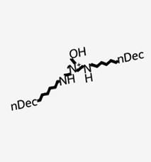 CCCCCCCCCCCCCCCCNCC[N+](C)(CCO)CCNCCCCCCCCCCCCCCCC